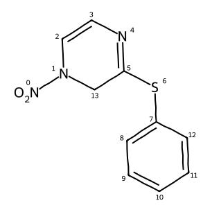 O=[N+]([O-])N1C=CN=C(Sc2ccccc2)C1